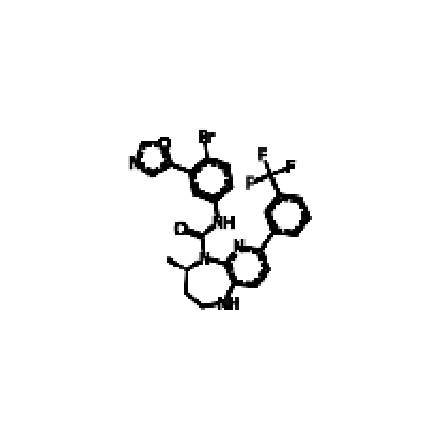 C[C@@H]1CCNc2ccc(-c3cccc(C(F)(F)F)c3)nc2N1C(=O)Nc1ccc(Br)c(-c2cnco2)c1